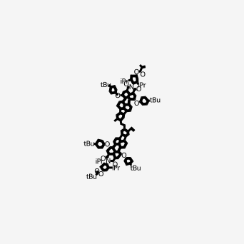 C=Cc1cc2c(cc1CCc1cc3c(cc1C)-c1ccc4c5c(Oc6ccc(C(C)(C)C)cc6)cc6c7c(cc(Oc8ccc(C(C)(C)C)cc8)c(c8ccc-3c1c48)c75)C(=O)N(c1c(C(C)C)cc(OC(=O)C(=C)C)cc1C(C)C)C6=O)-c1ccc3c4c(Oc5ccc(C(C)(C)C)cc5)cc5c6c(cc(Oc7ccc(C(C)(C)C)cc7)c(c7ccc-2c1c73)c64)C(=O)N(c1c(C(C)C)cc(OC(=O)C(C)(C)C)cc1C(C)C)C5=O